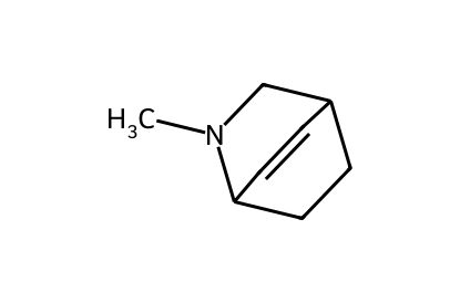 CN1CC2C=CC1CC2